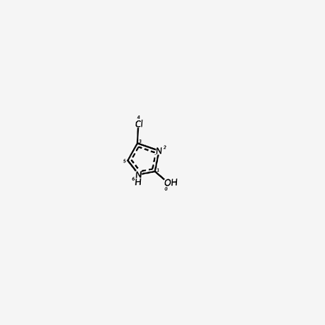 Oc1nc(Cl)c[nH]1